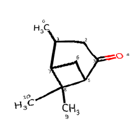 CC1CC(=O)C2CC1C2(C)C